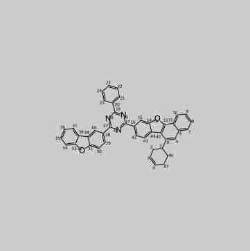 C1=CCC(c2cc3ccccc3c3oc4cc(-c5nc(-c6ccccc6)nc(-c6ccc7oc8ccccc8c7c6)n5)ccc4c23)CC1